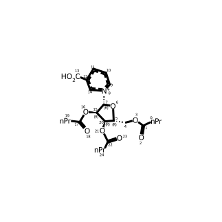 CCCC(=O)OC[C@H]1O[C@@H]([n+]2cccc(C(=O)O)c2)[C@H](OC(=O)CCC)[C@@H]1OC(=O)CCC